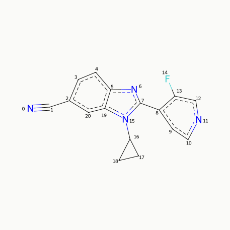 N#Cc1ccc2nc(-c3ccncc3F)n(C3CC3)c2c1